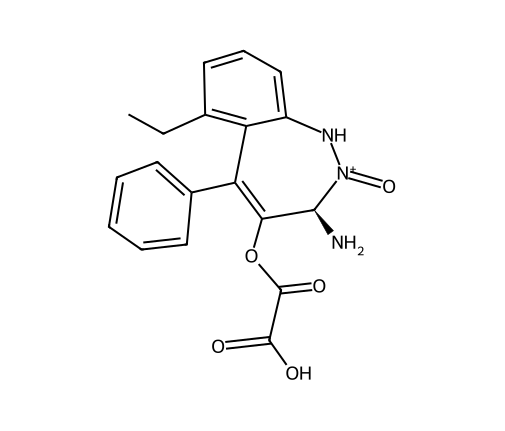 CCc1cccc2c1C(c1ccccc1)=C(OC(=O)C(=O)O)[C@H](N)[N+](=O)N2